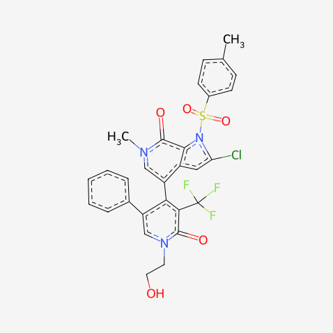 Cc1ccc(S(=O)(=O)n2c(Cl)cc3c(-c4c(-c5ccccc5)cn(CCO)c(=O)c4C(F)(F)F)cn(C)c(=O)c32)cc1